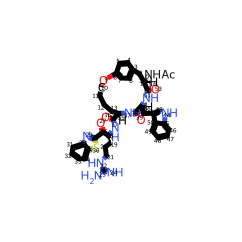 CC(=O)N[C@H]1Cc2ccc(cc2)OCCCC[C@@H](C(=O)N[C@@H](CCCNC(=N)N)C(=O)c2nc3ccccc3s2)NC(=O)[C@@H](Cc2c[nH]c3ccccc23)NC1=O